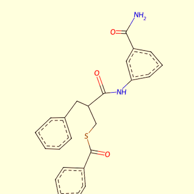 NC(=O)c1cccc(NC(=O)C(CSC(=O)c2ccccc2)Cc2ccccc2)c1